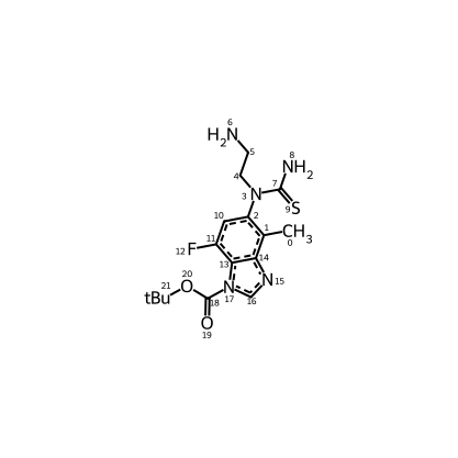 Cc1c(N(CCN)C(N)=S)cc(F)c2c1ncn2C(=O)OC(C)(C)C